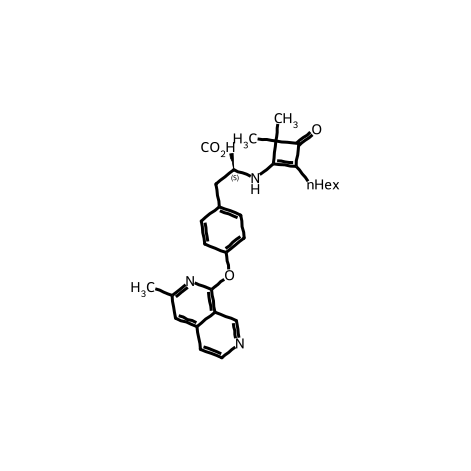 CCCCCCC1=C(N[C@@H](Cc2ccc(Oc3nc(C)cc4ccncc34)cc2)C(=O)O)C(C)(C)C1=O